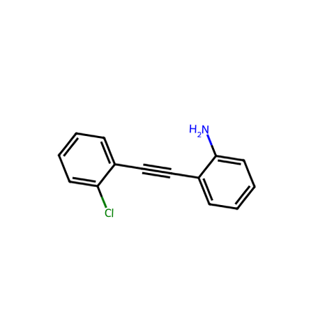 Nc1ccccc1C#Cc1ccccc1Cl